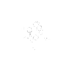 C=CC(=O)Nc1cc(Nc2ncc3nccc(-c4cncc(Cl)c4)c3n2)c(OC)cc1N(C)C1CCN(C)C1